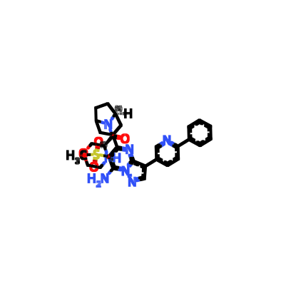 CS(=O)(=O)c1c(C2CC3CC[C@@H](C2)N3C(=O)[C@@H]2COCCN2)nc2c(-c3ccc(-c4ccccc4)nc3)cnn2c1N